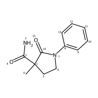 CC1(C(N)=O)CCN(c2ccccc2)C1=O